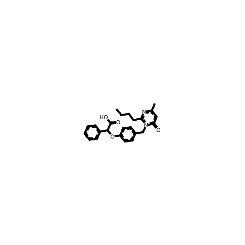 CCCCc1nc(C)cc(=O)n1Cc1ccc(OC(C(=O)O)c2ccccc2)cc1